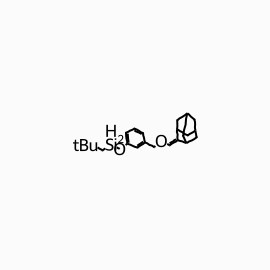 CC(C)(C)C[SiH2]Oc1cccc(COC=C2C3CC4CC(C3)CC2C4)c1